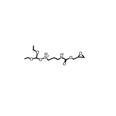 CCOC(OCC)O[SiH2]CCCNC(=O)OCC1CO1